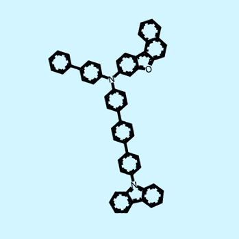 c1ccc(-c2ccc(N(c3ccc(-c4ccc(-c5ccc(-n6c7ccccc7c7ccccc76)cc5)cc4)cc3)c3ccc4c(c3)oc3ccc5ccccc5c34)cc2)cc1